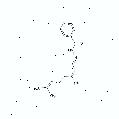 CC(C)=CCCC(C)=CC=NNC(=O)c1ccncc1